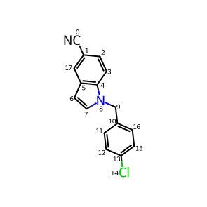 N#Cc1ccc2c(ccn2Cc2ccc(Cl)cc2)c1